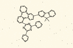 CC1(C)c2ccccc2-c2ccc(-c3ccc4c(c3)c3ccccc3c3cccc(-c5nc(-c6ccccc6)nc(-c6ccccc6)n5)c34)cc21